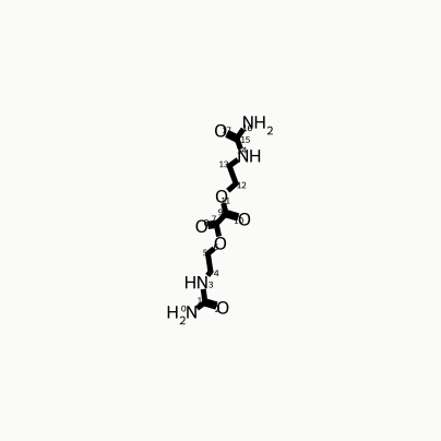 NC(=O)NCCOC(=O)C(=O)OCCNC(N)=O